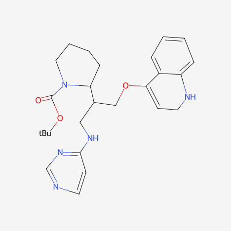 CC(C)(C)OC(=O)N1CCCCC1C(CNc1ccncn1)COC1=CCNc2ccccc21